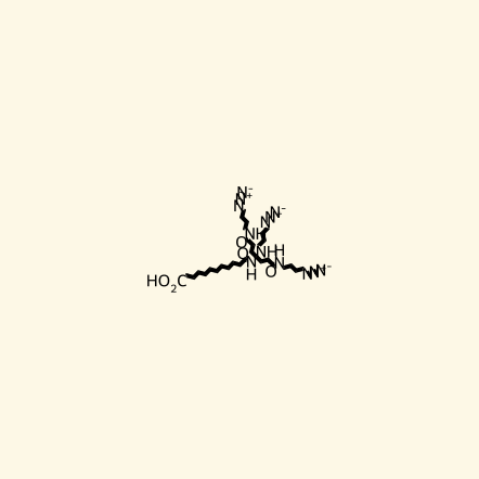 [N-]=[N+]=NCCCCNC(=O)CCC(CCC(=O)NCCCCN=[N+]=[N-])(NCCCCN=[N+]=[N-])NC(=O)CCCCCCCCCCC(=O)O